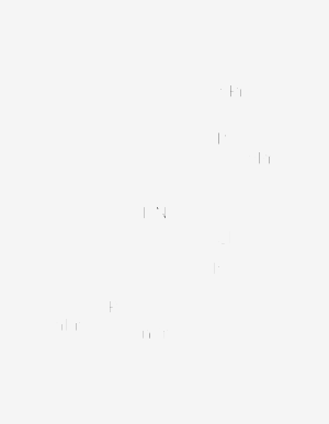 CCCP(CCC)CCNCCP(CCC)CCC.[Cl][Ir]